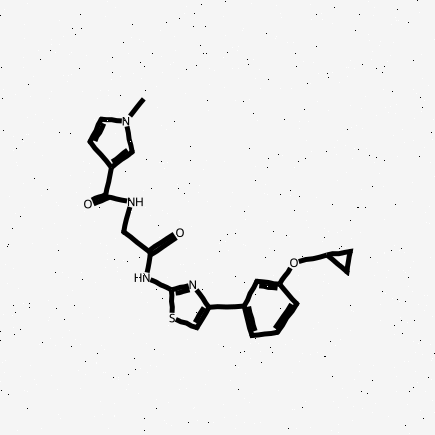 Cn1ccc(C(=O)NCC(=O)Nc2nc(-c3cccc(OC4CC4)c3)cs2)c1